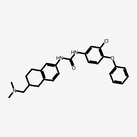 CN(C)CC1CCc2cc(NC(=O)Nc3ccc(Oc4ccccc4)c(Cl)c3)ccc2C1